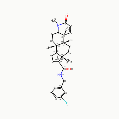 CN1C(=O)C=C[C@@]2(C)C1CC[C@@H]1[C@H]2CC[C@]2(C)C(C(=O)NCc3cccc(F)c3)CC[C@@H]12